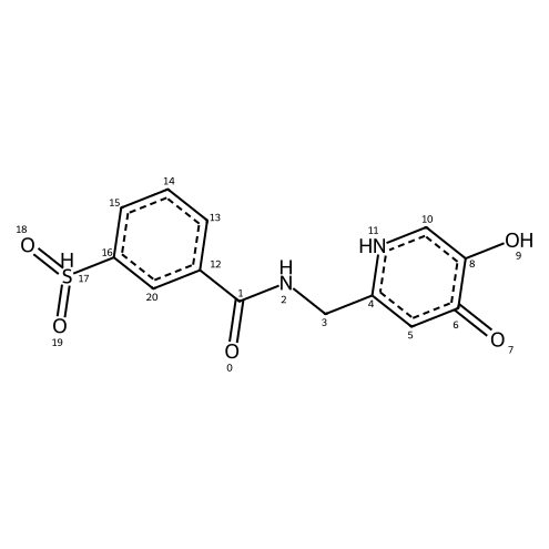 O=C(NCc1cc(=O)c(O)c[nH]1)c1cccc([SH](=O)=O)c1